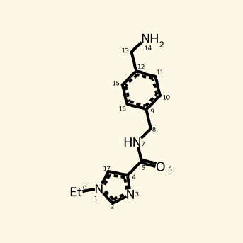 CCn1cnc(C(=O)NCc2ccc(CN)cc2)c1